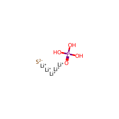 O=P(O)(O)O.[Li+].[Li+].[Li+].[Li+].[Li+].[S-2]